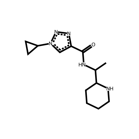 CC(NC(=O)c1cn(C2CC2)nn1)C1CCCCN1